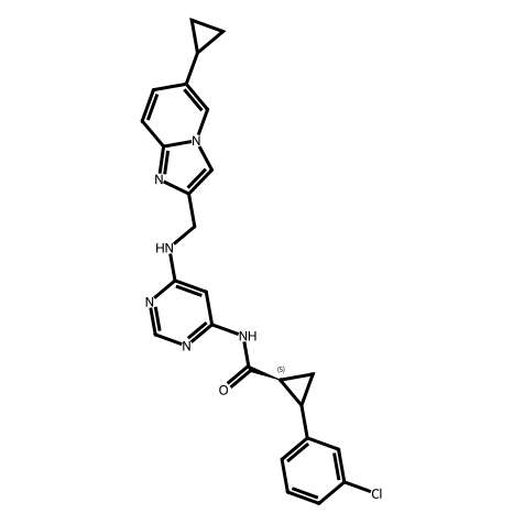 O=C(Nc1cc(NCc2cn3cc(C4CC4)ccc3n2)ncn1)[C@H]1CC1c1cccc(Cl)c1